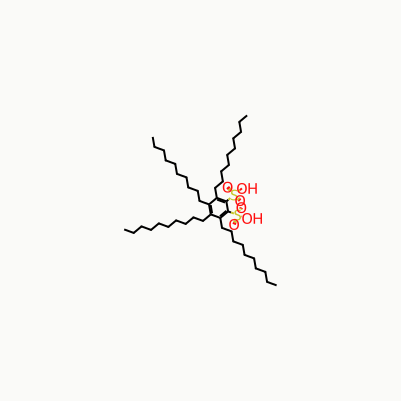 CCCCCCCCCCc1c(CCCCCCCCCC)c(CCCCCCCCCC)c(S(=O)(=O)O)c(S(=O)(=O)O)c1CCCCCCCCCC